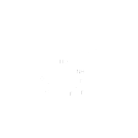 COC(=O)c1ccc(Nc2cc(C(C)(C)C)ccc2O)c(C(F)(F)F)c1